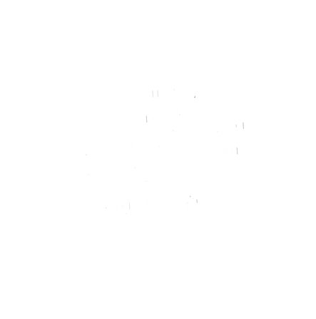 CC1(C)CCC(C)(C)c2cc(C(=O)c3ccccc3C(=O)O)ccc21.[Zn]